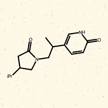 CC(CN1CC(C(C)C)CC1=O)c1ccc(=O)[nH]c1